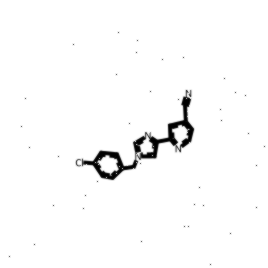 N#Cc1ccnc(-c2cn(Cc3ccc(Cl)cc3)cn2)c1